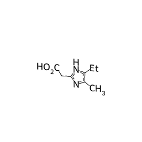 CCc1[nH]c(CC(=O)O)nc1C